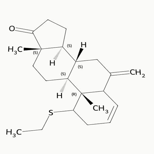 C=C1C[C@@H]2[C@H](CC[C@]3(C)C(=O)CC[C@@H]23)[C@@]2(C)C(SCC)CC=CC12